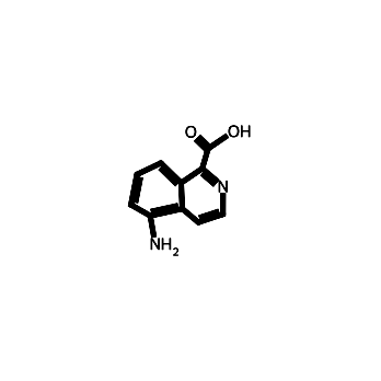 Nc1cccc2c(C(=O)O)nccc12